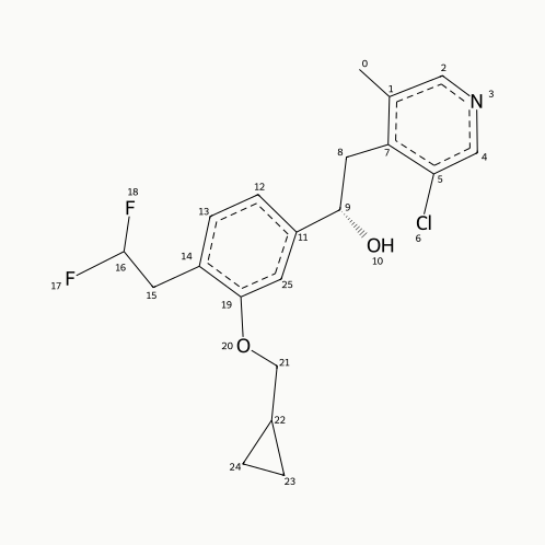 Cc1cncc(Cl)c1C[C@H](O)c1ccc(CC(F)F)c(OCC2CC2)c1